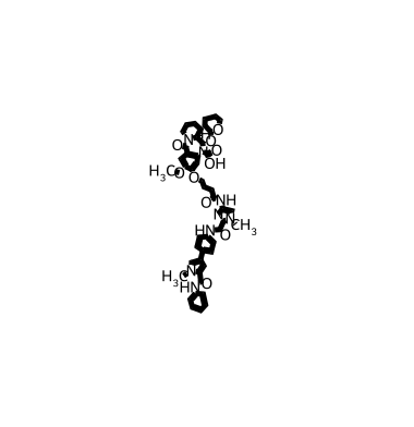 COc1cc2c(cc1OCCCC(=O)Nc1cn(C)c(C(=O)Nc3ccc(-c4cc(C(=O)Nc5ccccc5)n(C)c4)cc3)n1)N(C(=O)O)[C@@H](OC1CCCCO1)[C@@H]1CCCCN1C2=O